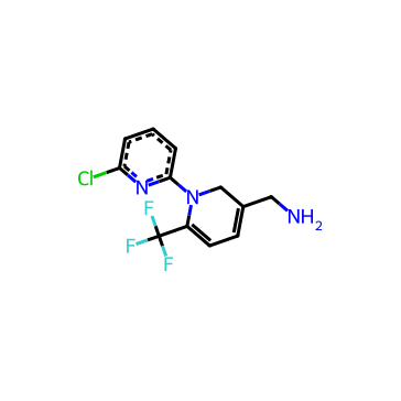 NCC1=CC=C(C(F)(F)F)N(c2cccc(Cl)n2)C1